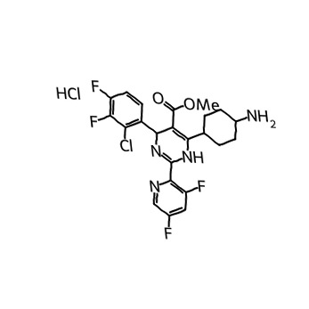 COC(=O)C1=C(C2CCC(N)CC2)NC(c2ncc(F)cc2F)=NC1c1ccc(F)c(F)c1Cl.Cl